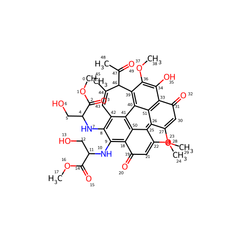 COC(=O)C(CO)Nc1c(NC(CO)C(=O)OC)c2c(=O)cc(OC)c3c4c(OC)cc(=O)c5c(O)c(OC)c6c(c(c1C=C(C)C6C(C)=O)c23)c54